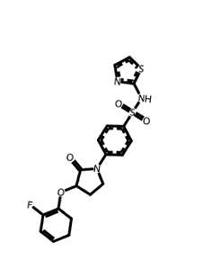 O=C1C(OC2=C(F)C=CCC2)CCN1c1ccc(S(=O)(=O)Nc2nccs2)cc1